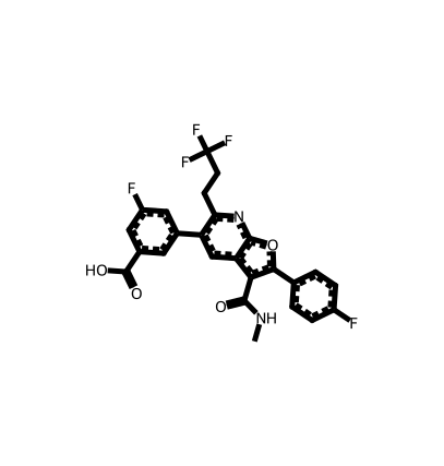 CNC(=O)c1c(-c2ccc(F)cc2)oc2nc(CCC(F)(F)F)c(-c3cc(F)cc(C(=O)O)c3)cc12